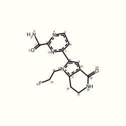 NC(=O)c1nccc(-c2cc3c(n2CCF)CCNC3=O)n1